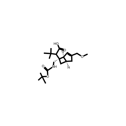 COCC1=C[C@H]2[C@@H](C1)C[C@@]2(CNC(=O)OC(C)(C)C)C(C(=O)O)C(C)(C)C